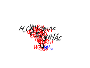 CC(=O)NC1C(C)OC(CO)C(OC2OC(CO)C(OC3OC(CO)C(OC4OC(CO)C(OC5OC(CO)C(O)C(O)C5N)C(O)C4NC(C)=O)C(O)C3NC(C)=O)C(O)C2NC(C)=O)C1O